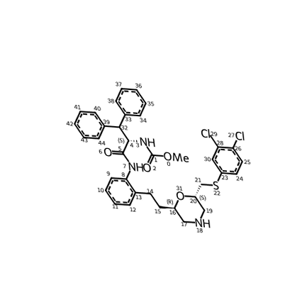 COC(=O)N[C@H](C(=O)Nc1ccccc1CC[C@@H]1CNC[C@@H](CSc2ccc(Cl)c(Cl)c2)O1)C(c1ccccc1)c1ccccc1